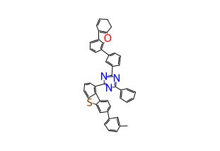 Cc1cccc(-c2ccc3c(c2)sc2cccc(-c4nc(-c5ccccc5)nc(-c5cccc(-c6cccc7c8c(oc67)CCC=C8)c5)n4)c23)c1